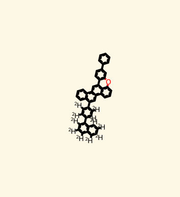 [2H]c1c([2H])c(-c2c([2H])c([2H])c([2H])c3c([2H])c([2H])c([2H])c([2H])c23)c([2H])c([2H])c1-c1cc2c3cccc4c3c(cc2c2ccccc12)-c1ccc(-c2ccccc2)cc1O4